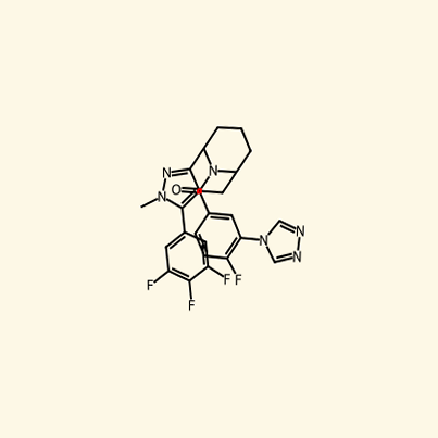 Cn1nc2c(c1-c1cc(F)c(F)c(F)c1)CC1CCCC2N1C(=O)c1ccc(F)c(-n2cnnc2)c1